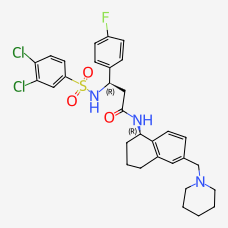 O=C(C[C@@H](NS(=O)(=O)c1ccc(Cl)c(Cl)c1)c1ccc(F)cc1)N[C@@H]1CCCc2cc(CN3CCCCC3)ccc21